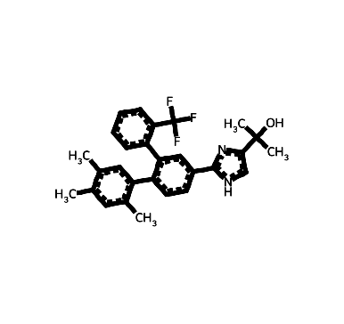 Cc1cc(C)c(-c2ccc(-c3nc(C(C)(C)O)c[nH]3)cc2-c2ccccc2C(F)(F)F)cc1C